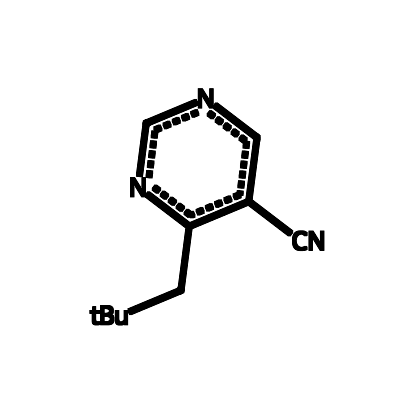 CC(C)(C)Cc1ncncc1C#N